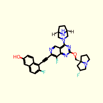 Oc1ccc2c(C#Cc3ncc4c(N5C[C@H]6CC[C@@H](C5)N6)nc(OC[C@@]56CCCN5C[C@H](F)C6)nc4c3F)c(F)ccc2c1